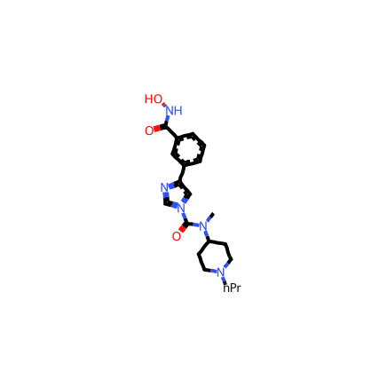 CCCN1CCC(N(C)C(=O)n2cnc(-c3cccc(C(=O)NO)c3)c2)CC1